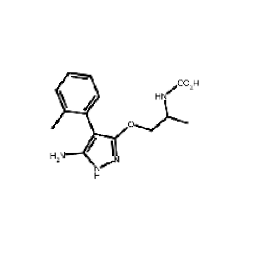 Cc1ccccc1-c1c(OCC(C)NC(=O)O)n[nH]c1N